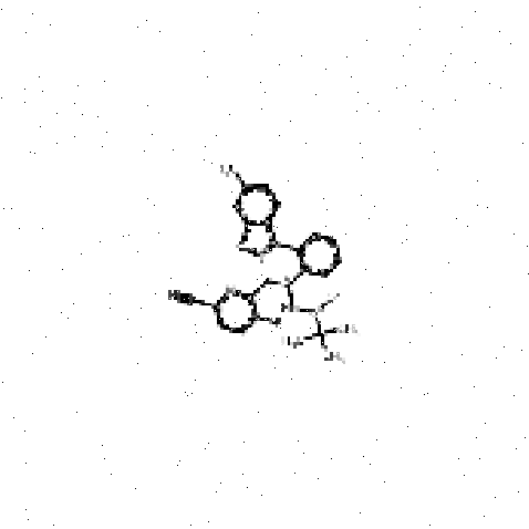 Cc1ccc2c(-c3ccccc3[C@H](Cc3nc(C#N)ccc3F)N[S+]([O-])C(C)(C)C)noc2c1